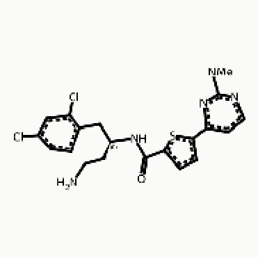 CNc1nccc(-c2ccc(C(=O)N[C@@H](CCN)Cc3ccc(Cl)cc3Cl)s2)n1